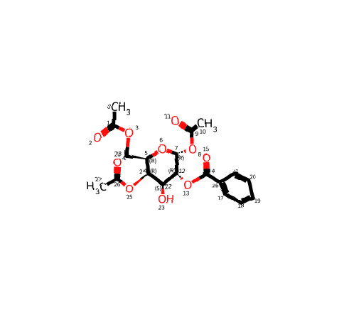 CC(=O)OC[C@H]1O[C@H](OC(C)=O)[C@H](OC(=O)c2ccccc2)[C@@H](O)[C@H]1OC(C)=O